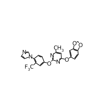 Cc1cc(Oc2ccc3c(c2)OCO3)nc(Oc2ccc(-n3ccnc3)c(C(F)(F)F)c2)n1